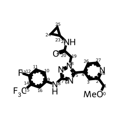 COCc1cc(-c2nc(Nc3ccc(F)c(C(F)(F)F)c3)nn2CC(=O)NC2CC2)ccn1